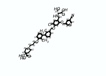 Cc1c(COc2cc(OCc3cncc(C#N)c3)c(CN[C@H](CO)C(=O)O)cc2Cl)cccc1-c1cccc(OCCCN2CCC(O)(C(=O)O)CC2)c1C